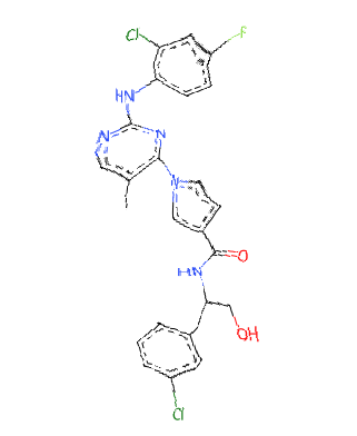 Cc1cnc(Nc2ccc(F)cc2Cl)nc1-n1ccc(C(=O)NC(CO)c2cccc(Cl)c2)c1